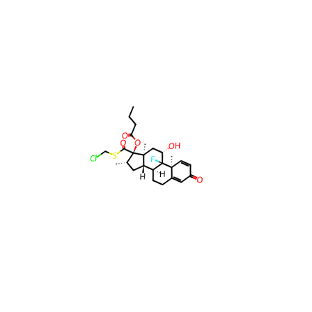 CCCC(=O)O[C@]1(C(=O)SCCl)[C@@H](C)C[C@H]2[C@@H]3CCC4=CC(=O)C=C[C@]4(C)[C@@]3(F)[C@@H](O)C[C@@]21C